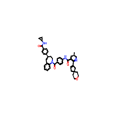 Cc1cnc(C2=CCC3(CCOCC3)C2)c(C(=O)Nc2ccc(C(=O)N3CCC(c4ccc(C(=O)NC5CC5)cc4)=Cc4ccccc43)cc2)c1